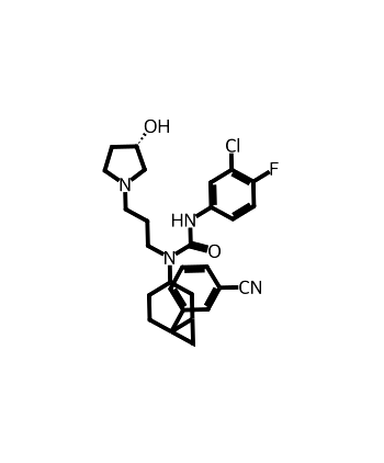 N#Cc1cccc(C23CCC(N(CCCN4CC[C@H](O)C4)C(=O)Nc4ccc(F)c(Cl)c4)CC2C3)c1